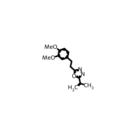 C=C(C)c1nnc(CCc2ccc(OC)c(OC)c2)o1